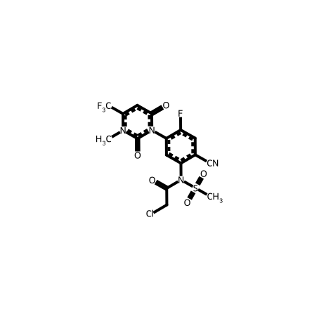 Cn1c(C(F)(F)F)cc(=O)n(-c2cc(N(C(=O)CCl)S(C)(=O)=O)c(C#N)cc2F)c1=O